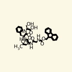 CC(C)C[C@H](NC(=O)CNC(=O)OCC1c2ccccc2-c2ccccc21)C(=O)N[C@@H](Cc1ccccc1)C(=O)N[C@@H](CO)C(=O)O